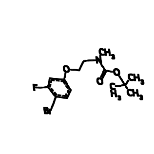 CN(CCOc1ccc(Br)c(F)c1)C(=O)OC(C)(C)C